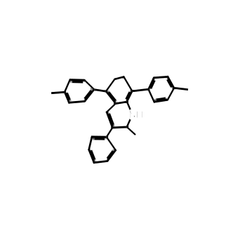 Cc1ccc(C2=C3C=C(c4ccccc4)C(C)NC3=C(c3ccc(C)cc3)CC2)cc1